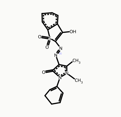 Cc1c(/N=N/C2=C(O)c3ccccc3S2(=O)=O)c(=O)n(C2=CCCC=C2)n1C